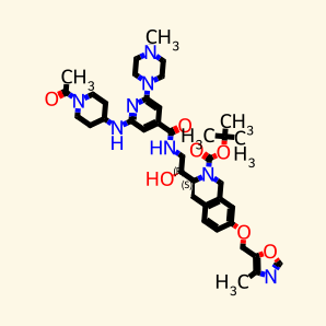 CC(=O)N1CCC(Nc2cc(C(=O)NC[C@@H](O)[C@@H]3Cc4ccc(OCc5ocnc5C)cc4CN3C(=O)OC(C)(C)C)cc(N3CCN(C)CC3)n2)CC1